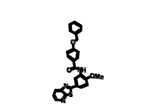 COc1ccc(-c2nc3cccnc3s2)cc1NC(=O)c1ccc(OCc2ccccc2)cc1